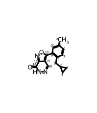 Cc1ccc(CC2CC2)c(-c2onc3c(=O)[nH]ncc23)c1